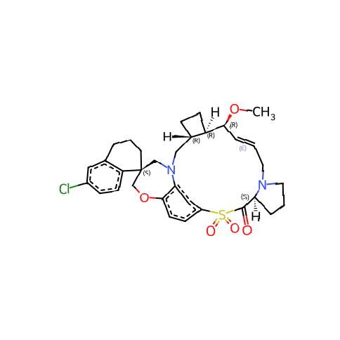 CO[C@H]1/C=C/CN2CCC[C@H]2C(=O)S(=O)(=O)c2ccc3c(c2)N(C[C@@H]2CC[C@H]21)C[C@@]1(CCCc2cc(Cl)ccc21)CO3